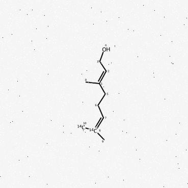 C/C(=C\CO)CCC=[14C](C)[14CH3]